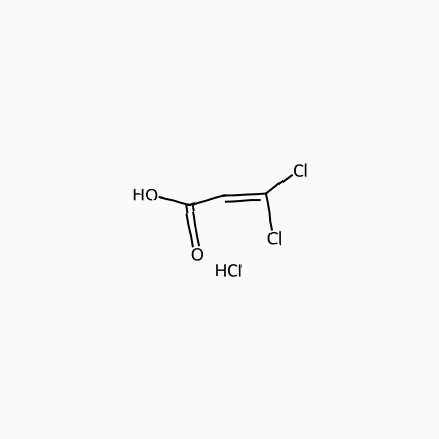 Cl.O=C(O)C=C(Cl)Cl